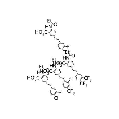 CCC(=O)Nc1ccc(/C=C/c2ccc(C(F)(F)F)c(C(F)(F)F)c2)cc1C(=O)O.CCC(=O)Nc1ccc(/C=C/c2ccc(C(F)(F)F)cc2Cl)cc1C(=O)O.CCC(=O)Nc1ccc(/C=C/c2ccc(Cl)c(F)c2)cc1C(=O)O.CCC(=O)Nc1ccc(/C=C/c2ccc(F)c(F)c2)cc1C(=O)O